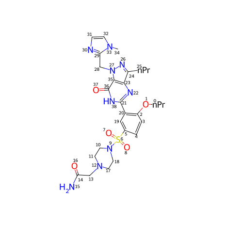 CCCOc1ccc(S(=O)(=O)N2CCN(CC(N)=O)CC2)cc1-c1nc2c(CCC)nn(Cc3nccn3C)c2c(=O)[nH]1